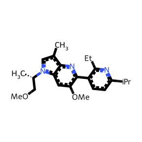 CCc1nc(C(C)C)ccc1-c1nc2c(C)cn([C@@H](C)COC)c2cc1OC